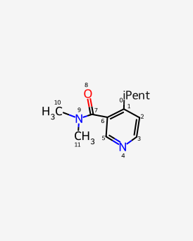 CCCC(C)c1ccncc1C(=O)N(C)C